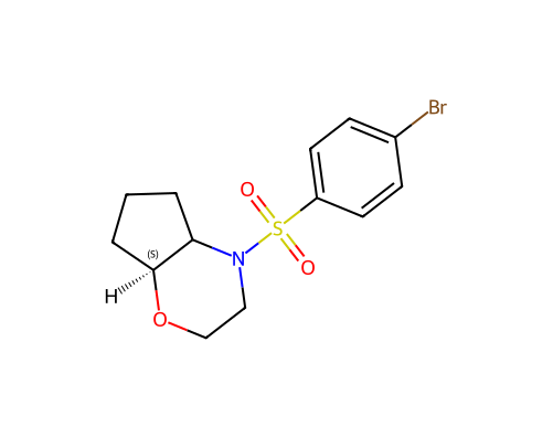 O=S(=O)(c1ccc(Br)cc1)N1CCO[C@H]2CCCC21